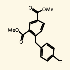 COC(=O)c1ccc(Cc2ccc(F)cc2)c(C(=O)OC)c1